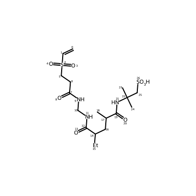 C=CS(=O)(=O)CCC(=O)NCNC(=O)C(CC)CC(C)C(=O)NC(C)(C)CS(=O)(=O)O